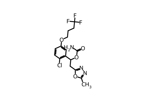 Cc1nnc(CC(OC(N)=O)c2cc(OCCCC(F)(F)F)ccc2Cl)o1